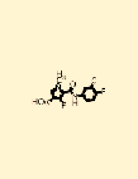 Cn1cc(SO)c(F)c1C(=O)Nc1ccc(F)c(Cl)c1